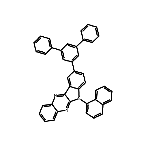 c1ccc(-c2cc(-c3ccccc3)cc(-c3ccc4c(c3)c3nc5ccccc5nc3n4-c3cccc4ccccc34)c2)cc1